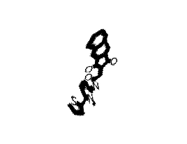 Cn1c(-c2cccs2)cc2oc(C=C3C(=O)c4cc5ccccc5cc4C3=O)nc21